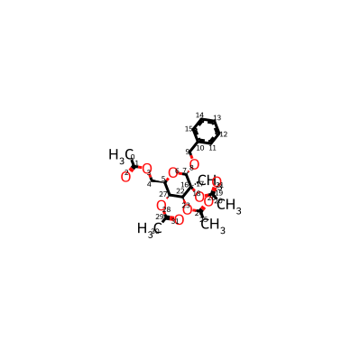 CC(=O)OC[C@H]1O[C@H](OCc2ccccc2)[C@@](C)(OC(C)=O)[C@@H](OC(C)=O)[C@@H]1OC(C)=O